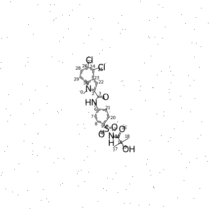 Cn1c(C(=O)Nc2ccc(S(=O)(=O)NC(=O)C(C)(C)O)cc2)cc2c(Cl)c(Cl)ccc21